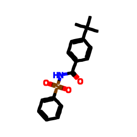 CC(C)(C)c1ccc(C(=O)NS(=O)(=O)c2ccccc2)cc1